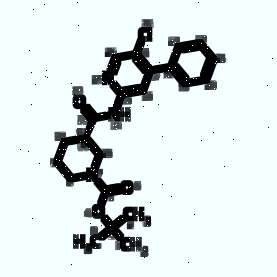 CC(C)(C)OC(=O)N1CCC[C@@H](C(=O)Nc2cc(-c3ccccc3)c(Cl)cn2)C1